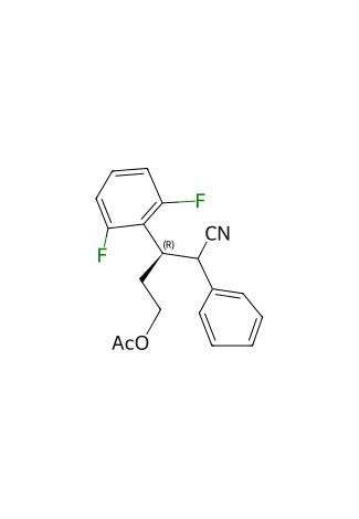 CC(=O)OCC[C@@H](c1c(F)cccc1F)C(C#N)c1ccccc1